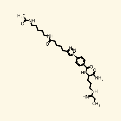 CCC(=N)NCCCC(NC(=O)c1ccc(-n2cc(CCCCC(=O)NCCCCCNC(C)=O)nn2)cc1)C(N)=O